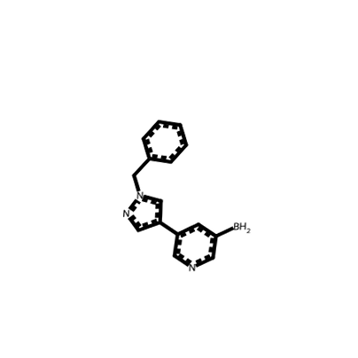 Bc1cncc(-c2cnn(Cc3ccccc3)c2)c1